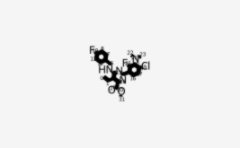 C=Cc1c(NCc2ccc(F)cc2)nc(-c2ccc(Cl)c(N(C)C)c2F)nc1C(=O)OC